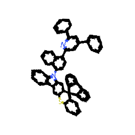 c1ccc(-c2cc(-c3ccccc3)nc(-c3ccc(-n4c5ccccc5c5cc6c(cc54)C4(c5ccccc5S6)c5ccccc5-c5ccccc54)c4ccccc34)c2)cc1